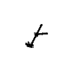 C=CCCCCCCCCCC(CCCCCCCCCC=C)C(=O)OCCCCCCCCCCOC(=O)C(C)c1ccc(CC(C)C)cc1